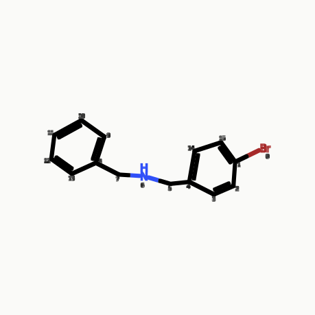 Brc1ccc(CNCc2ccccc2)cc1